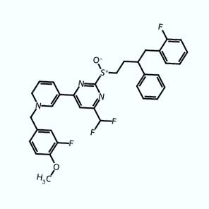 COc1ccc(CN2C=C(c3cc(C(F)F)nc([S+]([O-])CCC(Cc4ccccc4F)c4ccccc4)n3)C=CC2)cc1F